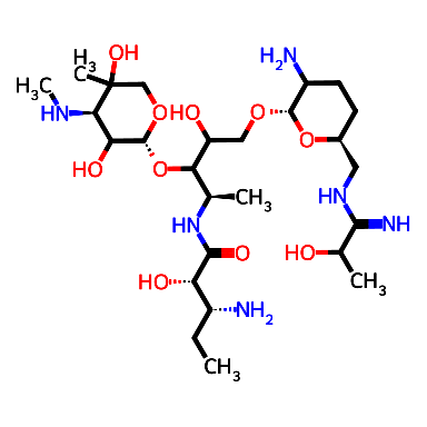 CC[C@@H](N)[C@H](O)C(=O)N[C@H](C)C(O[C@H]1OCC(C)(O)[C@H](NC)C1O)C(O)CO[C@H]1O[C@H](CNC(=N)C(C)O)CCC1N